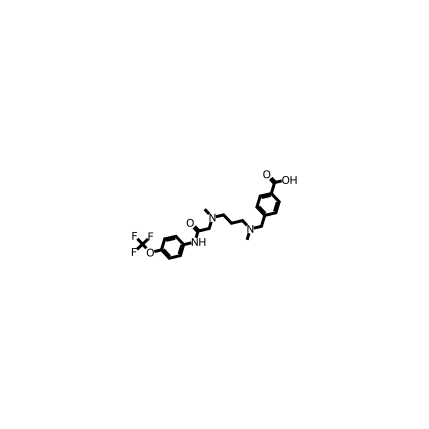 CN(CCCN(C)Cc1ccc(C(=O)O)cc1)CC(=O)Nc1ccc(OC(F)(F)F)cc1